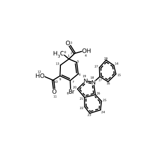 CC1(C(=O)O)C=CC(Br)=C(C(=O)O)C1.c1ccc(-n2ncc3ccccc32)cc1